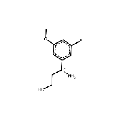 COc1cc(F)cc([C@H](N)CCO)c1